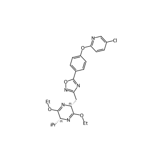 CCOC1=N[C@H](C(C)C)C(OCC)=N[C@@H]1Cc1noc(-c2ccc(Oc3ccc(Cl)cn3)cc2)n1